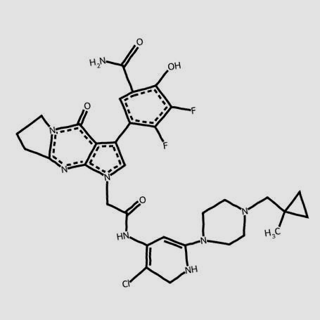 CC1(CN2CCN(C3=CC(NC(=O)Cn4cc(-c5cc(C(N)=O)c(O)c(F)c5F)c5c(=O)n6c(nc54)CCC6)=C(Cl)CN3)CC2)CC1